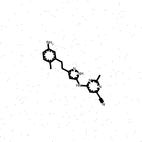 Cc1nc(C#N)cc(Nc2cc(CCc3cc(N)ccc3C)n[nH]2)n1